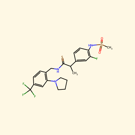 CC(C(=S)NCc1ccc(C(F)(F)F)cc1N1CCCC1)c1ccc(NS(C)(=O)=O)c(F)c1